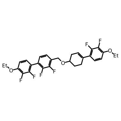 CCOc1ccc(C2=CCC(OCc3ccc(-c4ccc(OCC)c(F)c4F)c(F)c3F)CC2)c(F)c1F